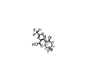 O=C(O)c1cc(C(F)(F)F)cnc1N1CCC(F)(F)CCC1=O